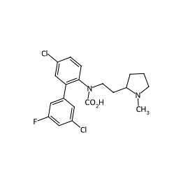 CN1CCCC1CCN(C(=O)O)c1ccc(Cl)cc1-c1cc(F)cc(Cl)c1